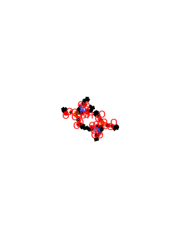 CCC(=O)OC1C[C@H](P(=O)(OCOC(=O)C(C)(C)C)OCOC(=O)C(C)(C)C)C(=O)N1OC(=O)CCCC(C)(C)C(=O)OCOP(=O)(OCOC(=O)C(C)(C)C)[C@H]1CC(OC(=O)CC(C)C)N(OC(=O)CC(C)C)C1O